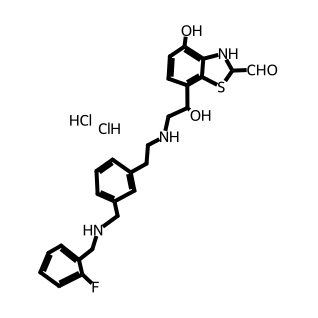 Cl.Cl.O=CC1Nc2c(O)ccc([C@@H](O)CNCCc3cccc(CNCc4ccccc4F)c3)c2S1